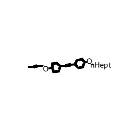 CC#CCOc1ccc(C#Cc2ccc(OCCCCCCC)cc2)cc1